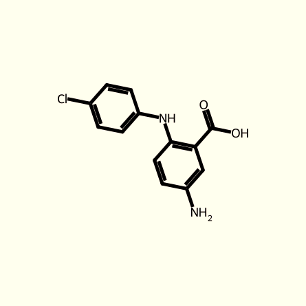 Nc1ccc(Nc2ccc(Cl)cc2)c(C(=O)O)c1